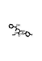 C=C(CC(NNc1ccc(F)cc1)C(=O)OCC)C(O)c1ccccc1